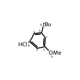 COc1cccc(C(C)(C)C)c1.Cl